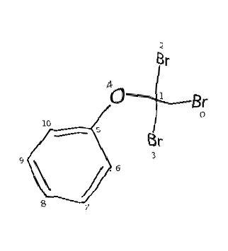 BrC(Br)(Br)Oc1[c]cccc1